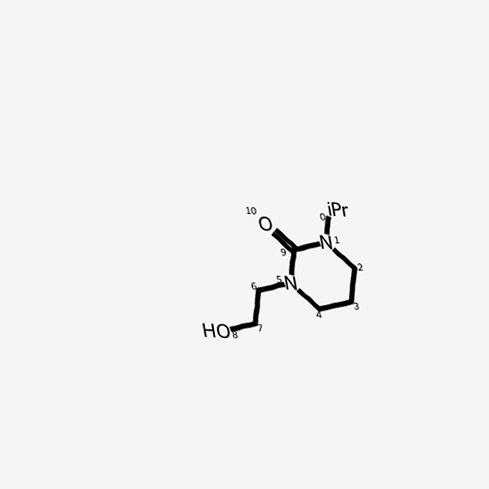 CC(C)N1CCCN(CCO)C1=O